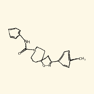 Cc1ccc(C2=NOC3(CCN(C(=O)Nc4ccccc4)CC3)C2)cc1